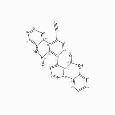 C#Cc1ccc(-c2cccc(-c3ccccc3)c2C(=O)O)c(C(=O)O)c1-c1ccccc1